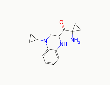 NC1(C(=O)C2CN(C3CC3)c3ccccc3N2)CC1